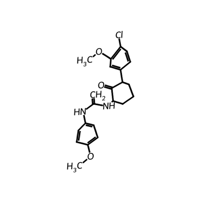 C=C(Nc1ccc(OC)cc1)NC1CCCC(c2ccc(Cl)c(OC)c2)C1=O